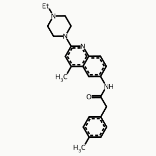 CCN1CCN(c2cc(C)c3cc(NC(=O)Cc4ccc(C)cc4)ccc3n2)CC1